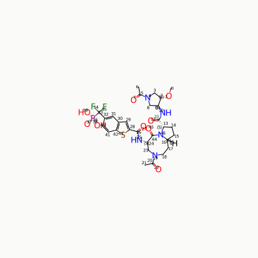 CO[C@H]1CN(C(C)=O)C[C@@H]1NC(=O)[C@@H]1CC[C@@H]2CCN(C(C)=O)C[C@H](NC(=O)c3cc4cc(C(F)(F)P(=O)(O)O)ccc4s3)C(=O)N21